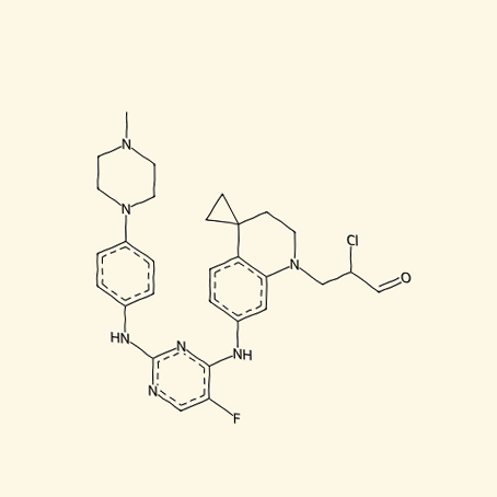 CN1CCN(c2ccc(Nc3ncc(F)c(Nc4ccc5c(c4)N(CC(Cl)C=O)CCC54CC4)n3)cc2)CC1